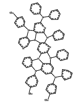 CC(C)(C)c1ccc(N(c2ccccc2)c2cc3c4c(c2)N(c2ccccc2)c2nc5c(cc2N4c2ccccc2N3c2ccc(C(C)(C)C)cc2)B2c3cnccc3N(c3ccc(C(C)(C)C)cc3)c3cc(N(c4ccccc4)c4ccccc4)nc(c32)N5c2ccccc2)cc1